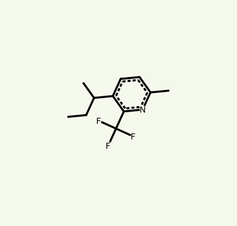 CCC(C)c1ccc(C)nc1C(F)(F)F